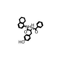 O=C(NC(Cc1ccc(O)cc1)C(=O)Nc1cccc2c1CCCC2)c1ccccc1